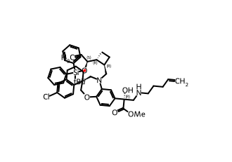 C=CCCCNC[C@@](O)(C(=O)OC)c1ccc2c(c1)N(C[C@@H]1CC[C@H]1[C@H](C=C)O[Si](c1ccccc1)(c1ccccc1)C(C)(C)C)C[C@@]1(CCCc3cc(Cl)ccc31)CO2